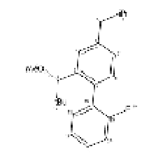 CO[C@H](c1cc(CC(C)C)ccc1-c1ccccc1F)C(C)(C)C